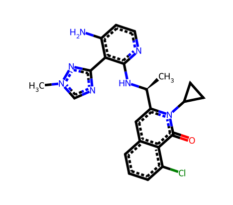 C[C@H](Nc1nccc(N)c1-c1ncn(C)n1)c1cc2cccc(Cl)c2c(=O)n1C1CC1